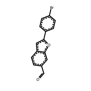 O=Cc1ccc2cc(-c3ccc(Br)cc3)oc2c1